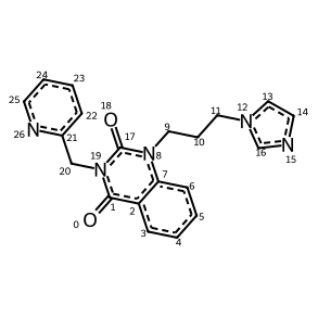 O=c1c2ccccc2n(CCCn2ccnc2)c(=O)n1Cc1ccccn1